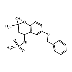 CC1(C)CC(NS(C)(=O)=O)c2cc(OCc3ccccc3)ccc2O1